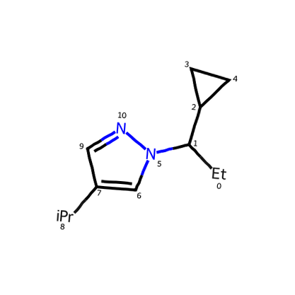 CCC(C1CC1)n1cc(C(C)C)cn1